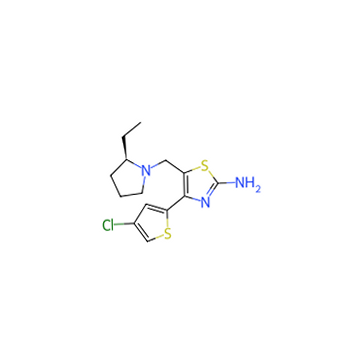 CC[C@@H]1CCCN1Cc1sc(N)nc1-c1cc(Cl)cs1